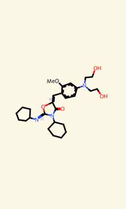 COc1cc(N(CCO)CCO)ccc1/C=C1/O/C(=N\C2CCCCC2)N(C2CCCCC2)C1=O